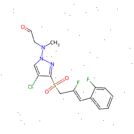 CN(CC=O)n1cc(Cl)c(S(=O)(=O)CC(F)=Cc2ccccc2F)n1